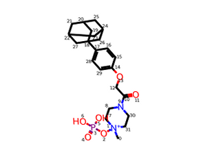 C[N+]1(OP(=O)(O)O)CCN(C(=O)COc2ccc(C34CC5CC(CC(C5)C3)C4)cc2)CC1